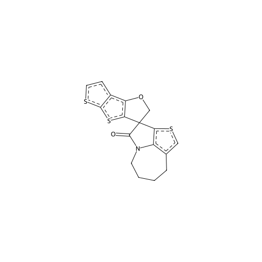 O=C1N2CCCCc3csc(c32)C12COc1c2sc2sccc12